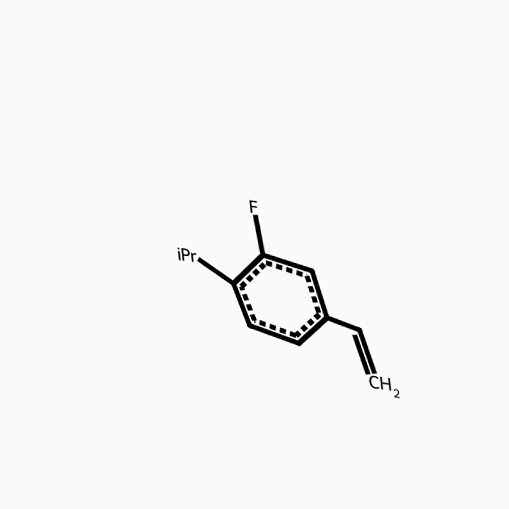 C=Cc1ccc(C(C)C)c(F)c1